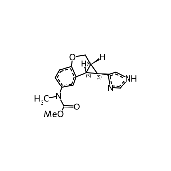 COC(=O)N(C)c1ccc2c(c1)[C@@H]1[C@H](CO2)[C@H]1c1c[nH]cn1